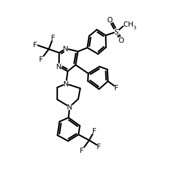 CS(=O)(=O)c1ccc(-c2nc(C(F)(F)F)nc(N3CCN(c4cccc(C(F)(F)F)c4)CC3)c2-c2ccc(F)cc2)cc1